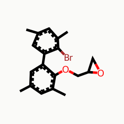 Cc1cc(C)c(Br)c(-c2cc(C)cc(C)c2OCC2CO2)c1